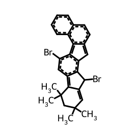 CC1(C)C=C2C(=c3cc(Br)c4c(c3C2Br)C=c2ccc3ccccc3c2=4)C(C)(C)C1